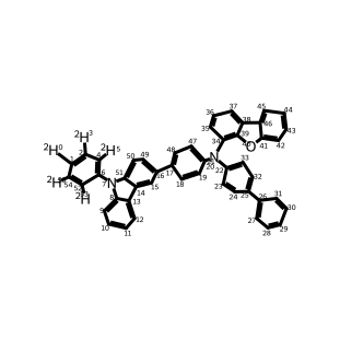 [2H]c1c([2H])c([2H])c(-n2c3ccccc3c3cc(-c4ccc(N(c5ccc(-c6ccccc6)cc5)c5cccc6c5oc5ccccc56)cc4)ccc32)c([2H])c1[2H]